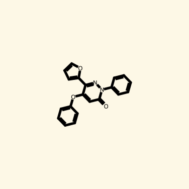 O=c1cc(Oc2ccccc2)c(-c2ccco2)nn1-c1ccccc1